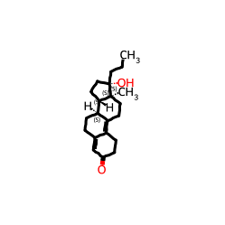 CCC[C@]1(O)CC[C@H]2[C@@H]3CCC4=CC(=O)CCC4=C3CC[C@@]21C